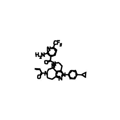 C=CC(=O)N1CCc2nn(-c3ccc(C4CC4)cc3)c3c2[C@@H](C1)N(C(=O)c1ccc(C(F)(F)F)nc1N)CC3